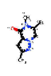 CCc1cn2nc(C)cc2c(=O)n1C